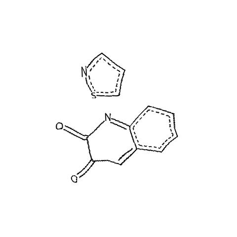 O=C1C=c2ccccc2=NC1=O.c1cnsc1